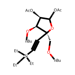 CCCCOC[C@@]1(C#C[Si](CC)(CC)CC)OC(OC(C)=O)[C@H](OC(C)=O)[C@@H]1OCCCC